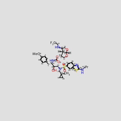 COc1ccc(C[C@H](NC(=O)O[C@H]2CO[C@H]3OC[C@H](NCC(F)(F)F)[C@H]32)[C@H](O)CN(CC2(C)CC2)S(=O)(=O)c2ccc3nc(NC(C)C)sc3c2)cc1